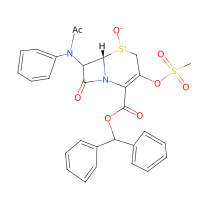 CC(=O)N(c1ccccc1)C1C(=O)N2C(C(=O)OC(c3ccccc3)c3ccccc3)=C(OS(C)(=O)=O)C[S+]([O-])[C@@H]12